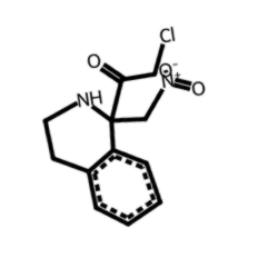 O=C(CCl)C1(C[N+](=O)[O-])NCCc2ccccc21